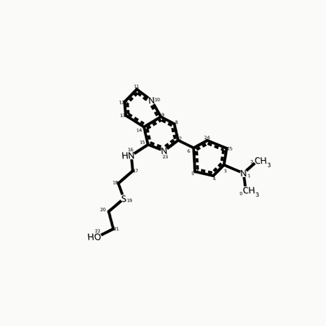 CN(C)c1ccc(-c2cc3ncccc3c(NCCSCCO)n2)cc1